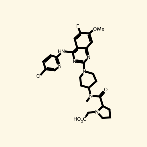 COc1cc2nc(N3CCC(N(C)C(=O)C4CCCN4CC(=O)O)CC3)nc(Nc3ccc(Cl)cn3)c2cc1F